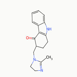 CC1=NCCN1CC1CCc2[nH]c3ccccc3c2C1=O